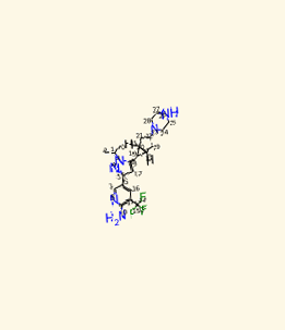 CC(C)n1nc(-c2cnc(N)c(C(F)(F)F)c2)cc1[C@H]1[C@@H]2C[C@H](N3CCNCC3)C[C@@H]21